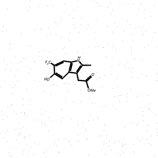 COC(=O)Cc1c(C)[nH]c2cc(C(F)(F)F)c(O)cc12